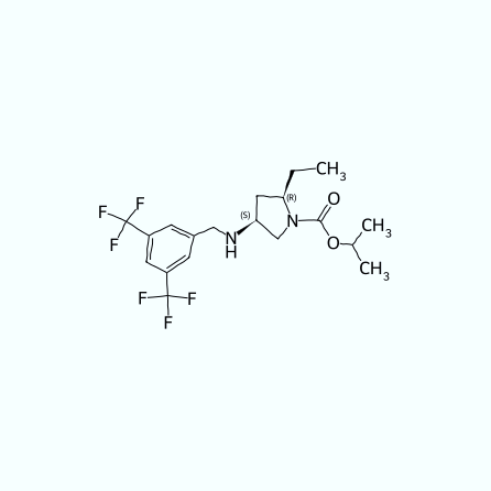 CC[C@@H]1C[C@H](NCc2cc(C(F)(F)F)cc(C(F)(F)F)c2)CN1C(=O)OC(C)C